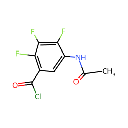 CC(=O)Nc1cc(C(=O)Cl)c(F)c(F)c1F